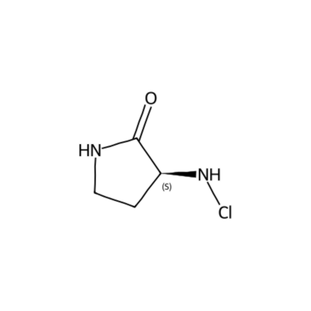 O=C1NCC[C@@H]1NCl